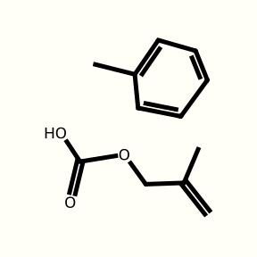 C=C(C)COC(=O)O.Cc1ccccc1